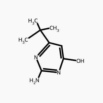 CC(C)(C)c1cc(O)nc(N)n1